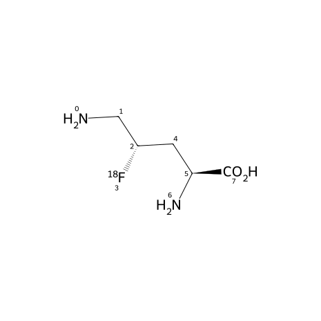 NC[C@@H]([18F])C[C@H](N)C(=O)O